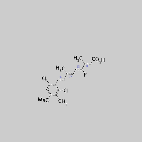 COc1cc(Cl)c(/C=C/C(C)=C/C=C(F)/C(C)=C/C(=O)O)c(Cl)c1C